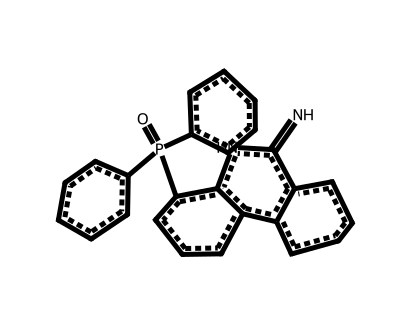 N=c1[nH]c2c(P(=O)(c3ccccc3)c3ccccc3)cccc2c2ccccc12